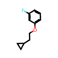 Fc1[c]ccc(OCCC2CC2)c1